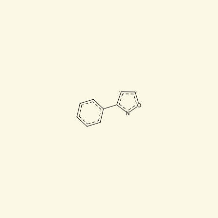 [c]1[c]c(-c2ccccc2)no1